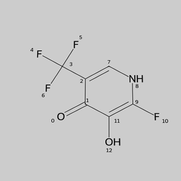 O=c1c(C(F)(F)F)c[nH]c(F)c1O